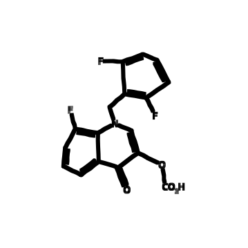 O=C(O)Oc1cn(Cc2c(F)cccc2F)c2c(F)cccc2c1=O